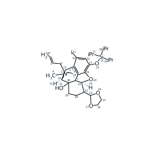 C=CC[N+]1(C)CC[C@]23c4c5c(I)cc(O[Si](C(C)C)(C(C)C)C(C)C)c4O[C@H]2C(C2OCCO2)CCC3(O)[C@H]1C5